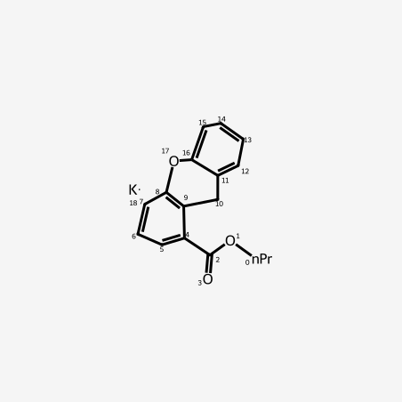 CCCOC(=O)c1cccc2c1Cc1ccccc1O2.[K]